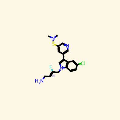 CN(C)Sc1cncc(-c2cn(C/C(F)=C/CN)c3ccc(Cl)cc23)c1